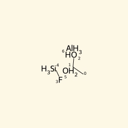 CCO.F[SiH3].O.[AlH3]